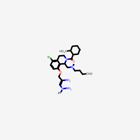 CC(C)N(N)/C=C(\N)COc1ccc(Br)c2c1C(CN(C)CCCC=O)N(C(=O)C1CCCCC1C(=O)O)CC2